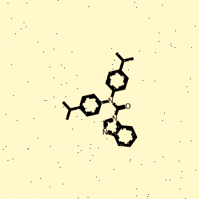 CC(C)c1ccc(N(C(=O)n2cnc3ccccc32)c2ccc(C(C)C)cc2)cc1